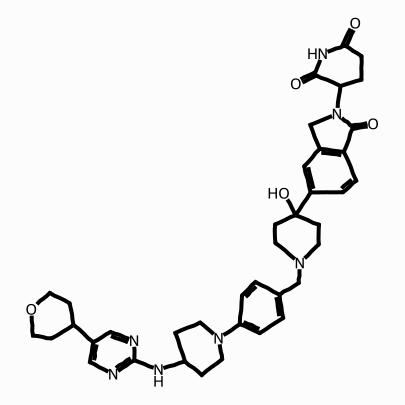 O=C1CCC(N2Cc3cc(C4(O)CCN(Cc5ccc(N6CCC(Nc7ncc(C8CCOCC8)cn7)CC6)cc5)CC4)ccc3C2=O)C(=O)N1